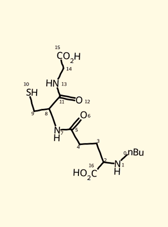 CCCCNC(CCC(=O)NC(CS)C(=O)NCC(=O)O)C(=O)O